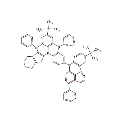 CC(C)(C)c1ccc(N(c2ccc(-c3ccccc3)cc2)c2ccc3c(c2)N(c2ccccc2)c2cc(C(C)(C)C)cc4c2B3c2sc3c(c2N4c2ccccc2)CCCC3)c(-c2ccccc2)c1